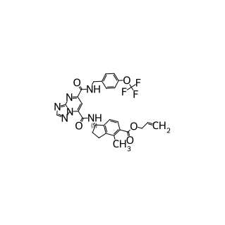 C=CCOC(=O)c1ccc2c(c1C)CC[C@@H]2NC(=O)c1cc(C(=O)NCc2ccc(OC(F)(F)F)cc2)nc2ncnn12